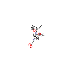 CC#CC[C@H](C)C(/C=C/[C@H]1C(O[Si](C)(C)C(C)(C)C)C[C@@H]2C/C(=C\CCCC(=O)OC)C[C@@H]21)O[Si](C)(C)C(C)(C)C